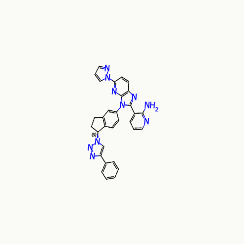 Nc1ncccc1-c1nc2ccc(-n3cccn3)nc2n1-c1ccc2c(c1)CC[C@@H]2n1cc(-c2ccccc2)nn1